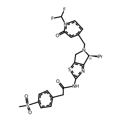 CC(C)[C@H]1c2nc(NC(=O)Cc3ccc(S(C)(=O)=O)cc3)sc2CN1Cc1ccn(C(F)F)c(=O)c1